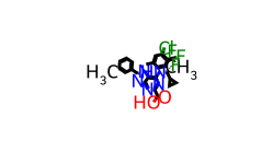 Cc1cccc(-c2nc3nc(C(=O)O)nc(N[C@H](C)C4CC4)c3n2Cc2ccc(C(F)(F)F)c(Cl)c2)c1